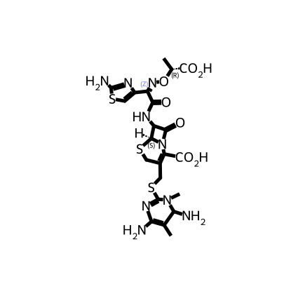 CC1=C(N)N=C(SCC2=C(C(=O)O)N3C(=O)C(NC(=O)/C(=N\O[C@H](C)C(=O)O)c4csc(N)n4)[C@@H]3SC2)N(C)C1N